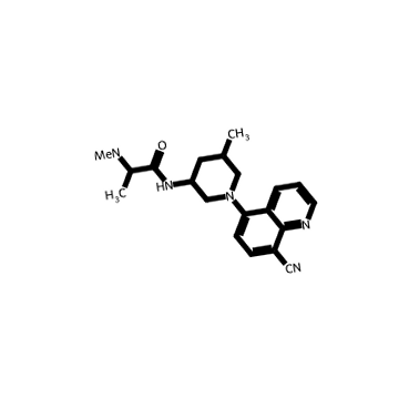 CNC(C)C(=O)NC1CC(C)CN(c2ccc(C#N)c3ncccc23)C1